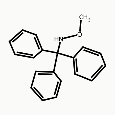 CONC(c1ccccc1)(c1ccccc1)c1ccccc1